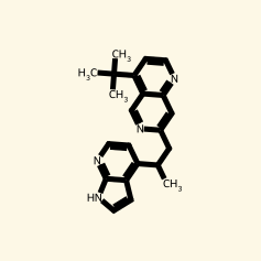 CC(Cc1cc2nccc(C(C)(C)C)c2cn1)c1ccnc2[nH]ccc12